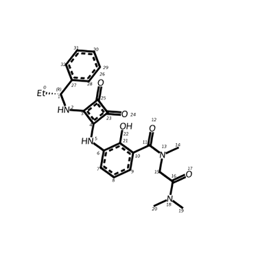 CC[C@@H](Nc1c(Nc2cccc(C(=O)N(C)CC(=O)N(C)C)c2O)c(=O)c1=O)c1ccccc1